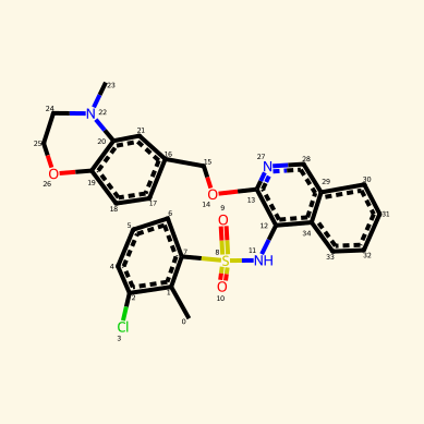 Cc1c(Cl)cccc1S(=O)(=O)Nc1c(OCc2ccc3c(c2)N(C)CCO3)ncc2ccccc12